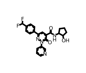 O=C(NC1CCCC1O)c1cc(-c2ccc(C(F)F)cc2)nn(-c2cccnc2)c1=O